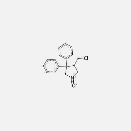 [O-][NH+]1CC(CCl)C(c2ccccc2)(c2ccccc2)C1